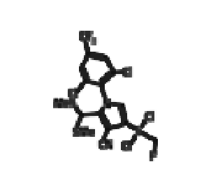 CSC(SC)c1c(C#N)c(S(Cl)(Cl)CF)cn1-c1c(Cl)cc(C(F)(F)F)cc1Cl